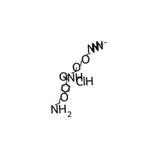 Cl.[N-]=[N+]=NCCOCCOCCNC(=O)c1ccc(OCCCN)cc1